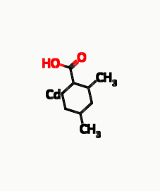 CC1CCC(C(=O)O)C(C)C1.[Cd]